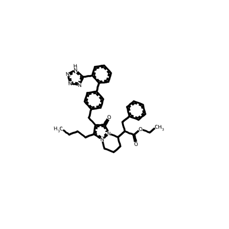 CCCCc1c(Cc2ccc(-c3ccccc3-c3nnn[nH]3)cc2)c(=O)n2n1CCCC2C(Cc1ccccc1)C(=O)OCC